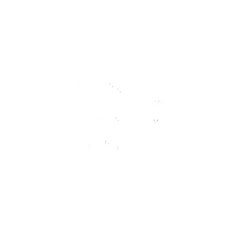 COc1cc2c3nnc4cc5c(cc4c3c(=O)n(CCN(C)C)c2cc1OC)OCO5